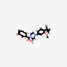 COC1C=C(N2CCN(C(O)C3CCCCC3)[C@H](C)C2)CCC1C1(C)CC1